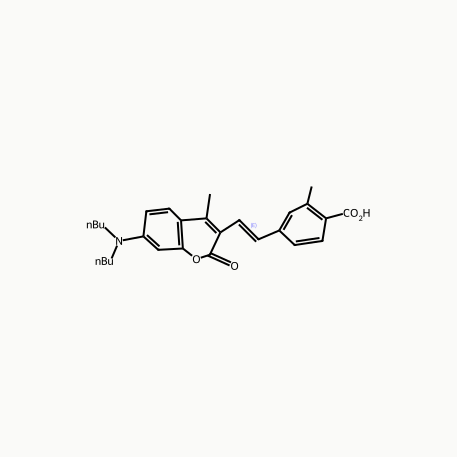 CCCCN(CCCC)c1ccc2c(C)c(/C=C/c3ccc(C(=O)O)c(C)c3)c(=O)oc2c1